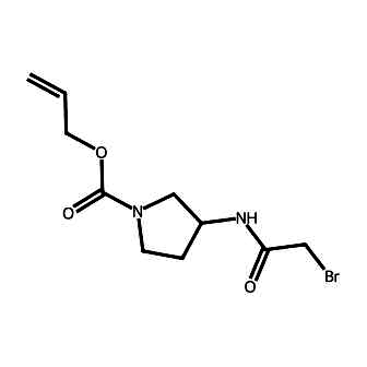 C=CCOC(=O)N1CCC(NC(=O)CBr)C1